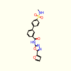 CNS(=O)(=O)c1ccc(-c2cccc(C(=O)Nc3nnc(-c4ccco4)o3)c2)cc1